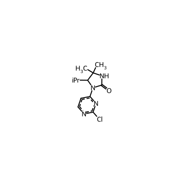 CC(C)C1N(c2ccnc(Cl)n2)C(=O)NC1(C)C